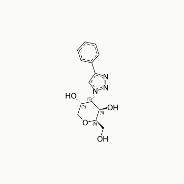 OC[C@H]1OC[C@H](O)[C@H](n2cc(-c3ccccc3)nn2)[C@H]1O